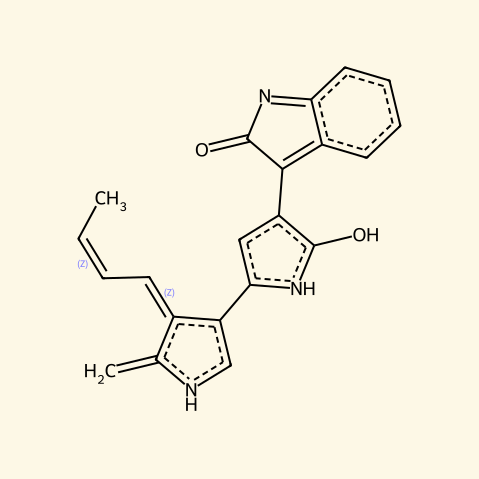 C=c1[nH]cc(-c2cc(C3=c4ccccc4=NC3=O)c(O)[nH]2)/c1=C/C=C\C